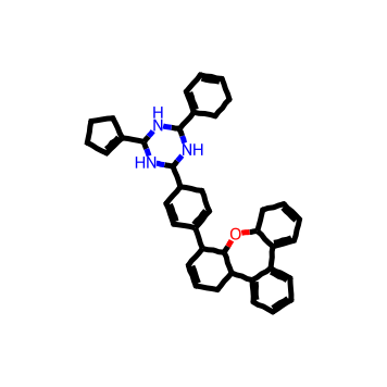 C1=CCCC(C2NC(C3=CCCC3)NC(C3C=CC(C4C=CCC5c6ccccc6C6=CC=CCC6OC45)=CC3)N2)=C1